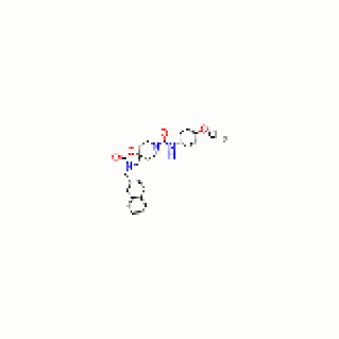 COc1ccc(NC(=O)N2CCC3(CC2)CN(Cc2ccc4ccccc4c2)C(=O)O3)cc1